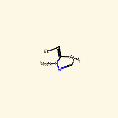 C/C=N\N(NC)/C(=C\CC)C(C)=O